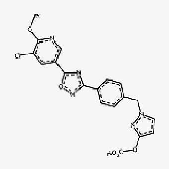 CC(C)Oc1ncc(-c2nc(-c3ccc(Cn4ccc(OC(=O)O)n4)cc3)no2)cc1Cl